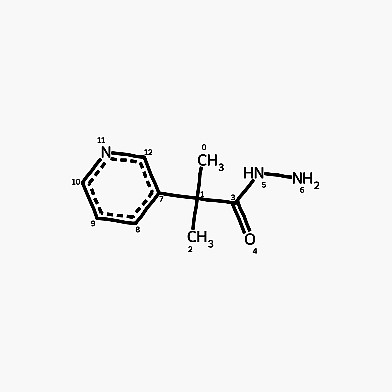 CC(C)(C(=O)NN)c1cccnc1